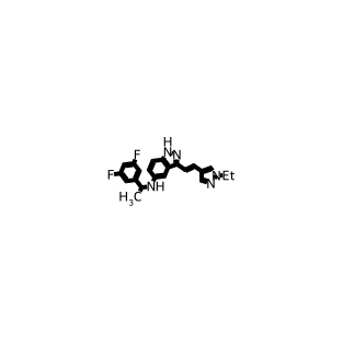 CCn1cc(C=Cc2n[nH]c3ccc(NC(C)c4cc(F)cc(F)c4)cc23)cn1